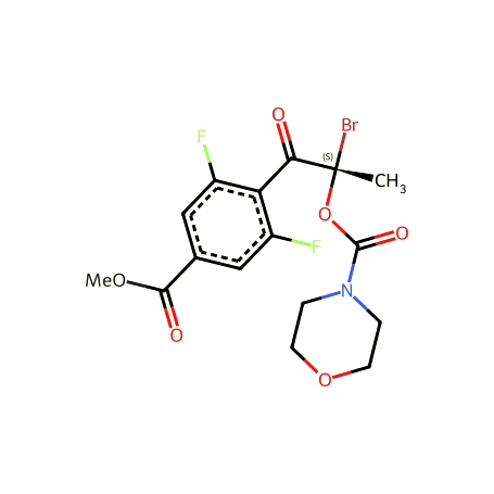 COC(=O)c1cc(F)c(C(=O)[C@](C)(Br)OC(=O)N2CCOCC2)c(F)c1